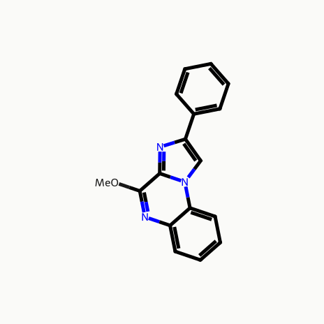 COc1nc2ccccc2n2cc(-c3ccccc3)nc12